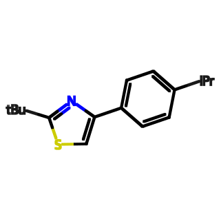 CC(C)c1ccc(-c2csc(C(C)(C)C)n2)cc1